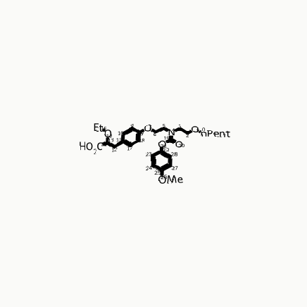 CCCCCOCCN(CCOc1ccc(CC(OCC)C(=O)O)cc1)C(=O)Oc1ccc(OC)cc1